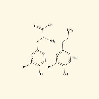 Cl.NC(Cc1ccc(O)c(O)c1)C(=O)O.NCCc1ccc(O)c(O)c1